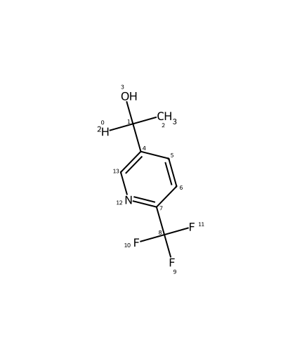 [2H]C(C)(O)c1ccc(C(F)(F)F)nc1